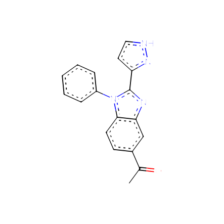 CC(=O)c1ccc2c(c1)nc(-c1cc[nH]n1)n2-c1c[c]ccc1